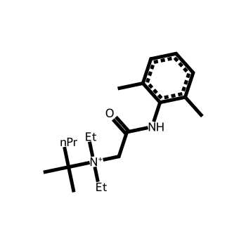 CCCC(C)(C)[N+](CC)(CC)CC(=O)Nc1c(C)cccc1C